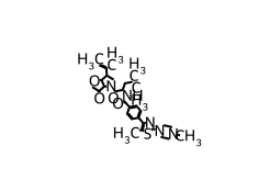 CC=C(C)C1CN(C(=O)C(CC(C)C)NC(=O)c2ccc(-c3nc(N4CCN(C)CC4)sc3C)cc2)C2C(=O)COC12